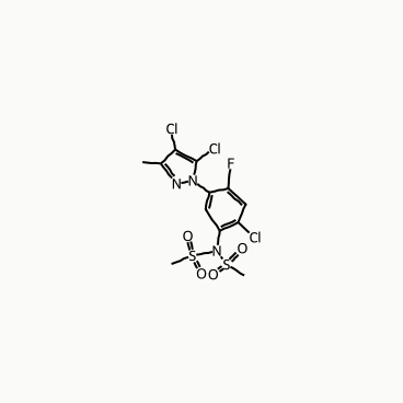 Cc1nn(-c2cc(N(S(C)(=O)=O)S(C)(=O)=O)c(Cl)cc2F)c(Cl)c1Cl